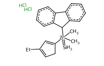 CCC1=CC[C]([Zr]([CH3])([CH3])(=[SiH2])[CH]2c3ccccc3-c3ccccc32)=C1.Cl.Cl